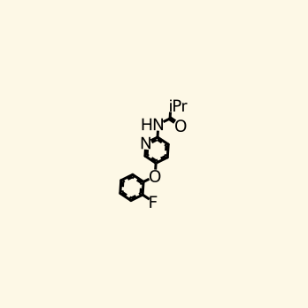 CC(C)C(=O)Nc1ccc(Oc2ccccc2F)cn1